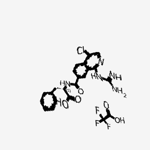 N=C(N)Nc1ncc(Cl)c2ccc(C(=O)N[C@@H](Cc3ccccc3)C(=O)O)cc12.O=C(O)C(F)(F)F